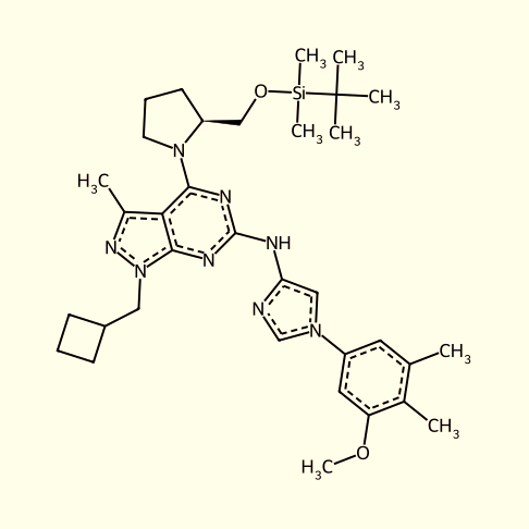 COc1cc(-n2cnc(Nc3nc(N4CCC[C@H]4CO[Si](C)(C)C(C)(C)C)c4c(C)nn(CC5CCC5)c4n3)c2)cc(C)c1C